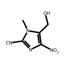 [C-]#[N+]c1nc([N+](=O)[O-])c(CO)n1C